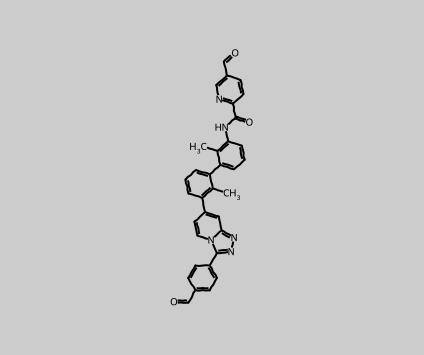 Cc1c(NC(=O)c2ccc(C=O)cn2)cccc1-c1cccc(-c2ccn3c(-c4ccc(C=O)cc4)nnc3c2)c1C